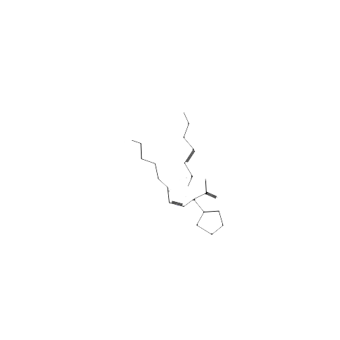 CCCCC[C@H](O)/C=C\[C@@](CC/C=C/CCO)(C(=O)O)C1CCCC1